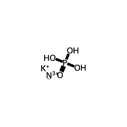 O=P(O)(O)O.[K+].[N+3]